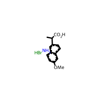 Br.COc1ccc2cc(C(C)C(=O)O)ccc2c1.N